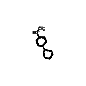 [CH2-][OH+]c1ccc(-c2ccccc2)cc1